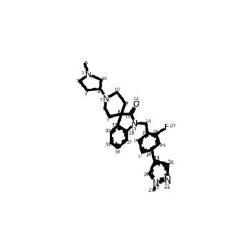 CN1CCC(N2CCC3(CC2)C(=O)N(Cc2ccc(-c4cnn(C)c4)cc2F)c2ccccc23)C1